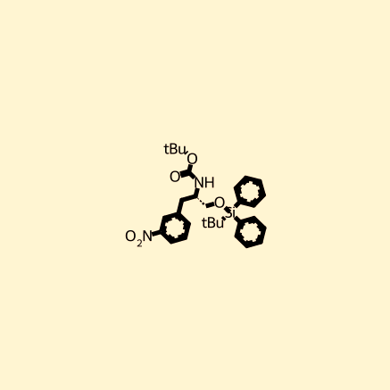 CC(C)(C)OC(=O)N[C@H](CO[Si](c1ccccc1)(c1ccccc1)C(C)(C)C)Cc1cccc([N+](=O)[O-])c1